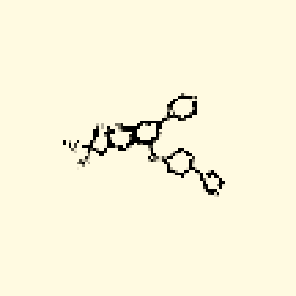 C#CC(C)(O)Cc1cnc2cc(N3CCOCC3)nc(OC3CCC(n4ccnc4)CC3)c2c1